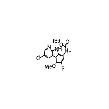 COc1c(F)cc(N(C)C(=O)OC(C)(C)C)c2[nH]c3ncc(Cl)cc3c12